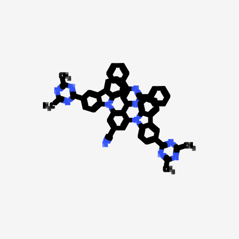 Cc1nc(C)nc(-c2ccc3c(c2)c2ccccc2n3-c2cc(C#N)cc(-n3c4ccccc4c4cc(-c5nc(C)nc(C)n5)ccc43)c2-c2cc(-c3ccccc3)nc(-c3ccccc3)n2)n1